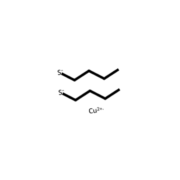 CCCC[S-].CCCC[S-].[Cu+2]